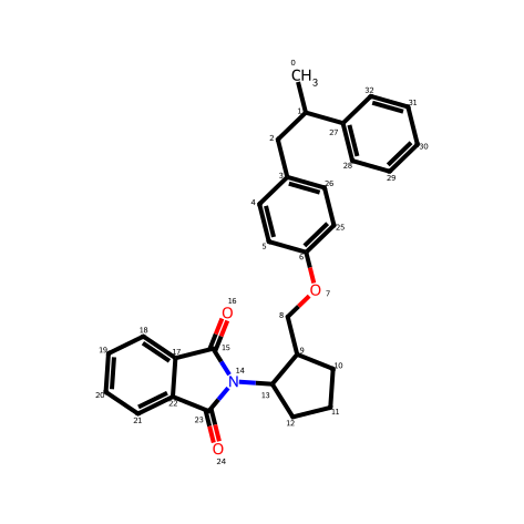 CC(Cc1ccc(OCC2CCCC2N2C(=O)c3ccccc3C2=O)cc1)c1ccccc1